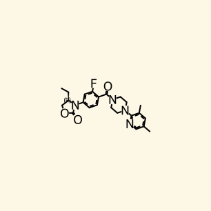 CC[C@@H]1COC(=O)N1c1ccc(C(=O)N2CCN(c3ncc(C)cc3C)CC2)c(F)c1